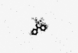 CO[Si](CC(C1CCC2OC2C1)C1CCC2OC2C1)(OC)OC